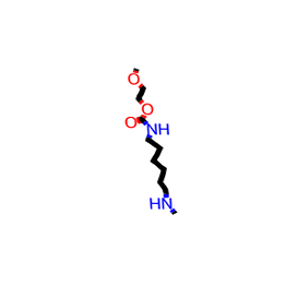 CNCCCCCCNC(=O)OCCOC